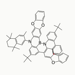 Cc1cc2c(cc1N1c3cc4c(cc3B3c5c(cc(C(C)(C)C)cc51)-c1cc5oc6ccccc6c5cc1N3c1ccc(C(C)(C)C)cc1-c1ccccc1)Oc1ccccc1O4)C(C)(C)CCC2(C)C